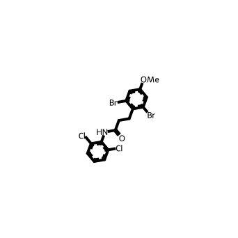 COc1cc(Br)c(CCC(=O)Nc2c(Cl)cccc2Cl)c(Br)c1